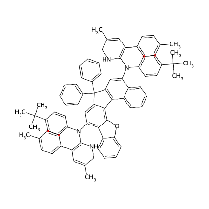 CC1=CC(c2ccc(C)cc2)=C(N(c2ccc(C(C)(C)C)cc2)c2cc3c(c4ccccc24)-c2c(cc(N(C4=C(c5ccc(C)cc5)C=C(C)CN4)c4ccc(C(C)(C)C)cc4)c4c2oc2ccccc24)C3(c2ccccc2)c2ccccc2)NC1